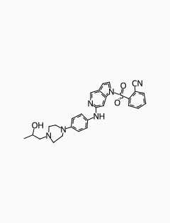 CC(O)CN1CCN(c2ccc(Nc3cc4c(ccn4S(=O)(=O)c4ccccc4C#N)cn3)cc2)CC1